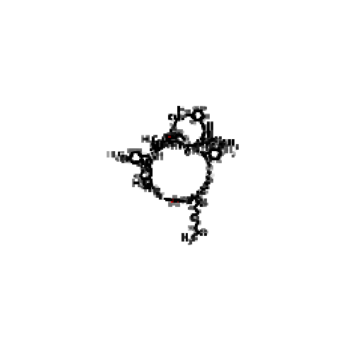 COc1ccc(C[C@@H]2NC(=O)[C@H]([C@@H](C)O)NC(=O)[C@@H]3[C@@H]4CCN3C(=O)[C@H](Cc3cn(c5ccc(F)cc35)CCCCCCN(C(=O)CCOCCC(C)=O)Cc3ccc(cc3)CCNC(=O)[C@]3(C)CCCN3C2=O)NC(=O)[C@@H](NC(=O)OC(C)(C)C)Cc2cccc(c2)CNC(=O)CO4)cc1